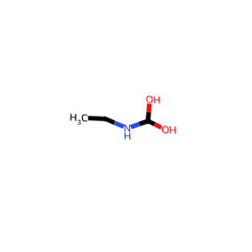 CCN[C](O)O